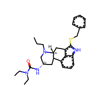 CCCN1C[C@@H](NC(=O)N(CC)CC)CC2c3cccc4[nH]c(SCc5ccccc5)c(c34)C[C@H]21